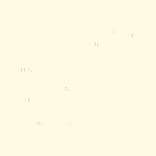 Cc1c(-c2ccc(C(F)(F)F)nc2)nc(C(=O)O)c(Cl)c1N